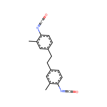 Cc1cc(CCc2ccc(N=C=O)c(C)c2)ccc1N=C=O